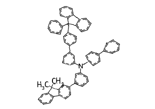 CC1(C)c2ccccc2-c2ccc(-c3cccc(N(c4ccc(-c5ccccc5)cc4)c4cccc(-c5ccc(C6(c7ccccc7)c7ccccc7-c7ccccc76)cc5)c4)c3)cc21